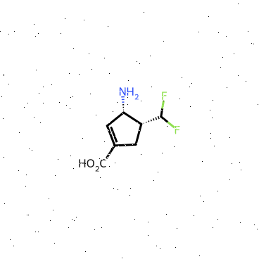 N[C@H]1C=C(C(=O)O)C[C@H]1C(F)F